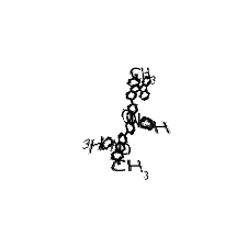 [3H]c1ccc(N2c3ccc(C)cc3Oc3cc(-c4ccc5c(c4)Oc4cc(-c6ccc7c(c6)C6(c8ccccc8-c8ccccc86)c6cc(C)ccc6-7)ccc4N5c4ccc([3H])cc4)ccc32)cc1